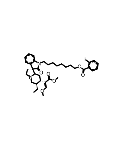 CC[C@H]1CN2CC[C@]3(C(=O)N(CCCCCCCCOC(=O)c4ccccc4I)c4ccccc43)C2C[C@@H]1/C(=C\OC)C(=O)OC